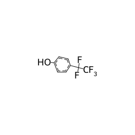 Oc1ccc(C(F)(F)C(F)(F)F)cc1